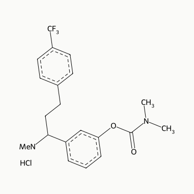 CNC(CCc1ccc(C(F)(F)F)cc1)c1cccc(OC(=O)N(C)C)c1.Cl